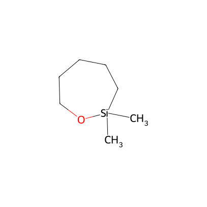 C[Si]1(C)CCCCCO1